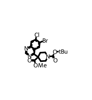 COC(=O)C1(c2ncnc3cc(Cl)c(Br)cc23)CCN(C(=O)OC(C)(C)C)CC1